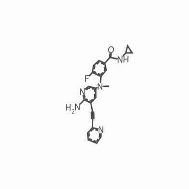 CN(c1cnc(N)c(C#Cc2ccccn2)c1)c1cc(C(=O)NC2CC2)ccc1F